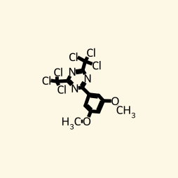 COc1cc(OC)cc(-c2nc(C(Cl)(Cl)Cl)nc(C(Cl)(Cl)Cl)n2)c1